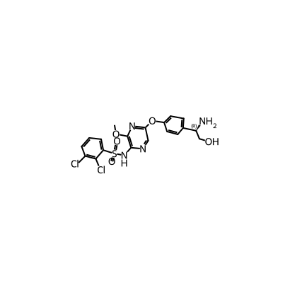 COc1nc(Oc2ccc([C@@H](N)CO)cc2)cnc1NS(=O)(=O)c1cccc(Cl)c1Cl